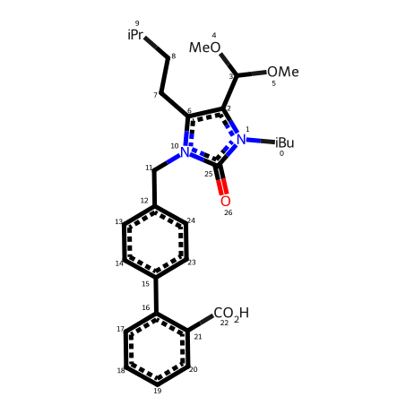 CCC(C)n1c(C(OC)OC)c(CCC(C)C)n(Cc2ccc(-c3ccccc3C(=O)O)cc2)c1=O